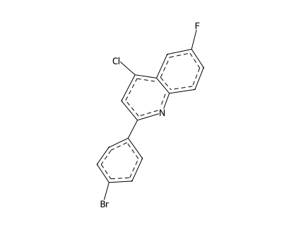 Fc1ccc2nc(-c3ccc(Br)cc3)cc(Cl)c2c1